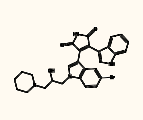 O=C1NC(=O)C(c2cn(CC(O)CN3CCCCC3)c3ccc(Br)cc23)=C1c1c[nH]c2ccccc12